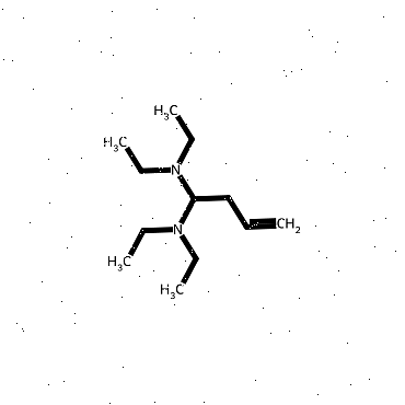 C=CCC(N(CC)CC)N(CC)CC